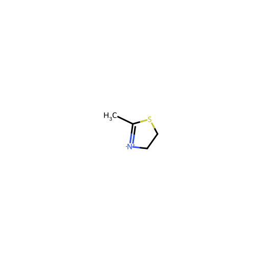 CC1=[N+]CCS1